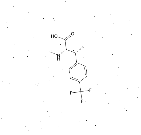 CN[C@H](C(=O)O)[C@H](C)c1ccc(C(F)(F)F)cc1